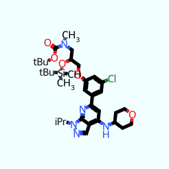 CC(C)n1ncc2c(NC3CCOCC3)cc(-c3cc(Cl)cc(OCC(CN(C)C(=O)OC(C)(C)C)O[Si](C)(C)C(C)(C)C)c3)nc21